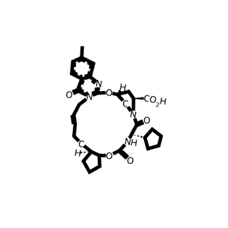 Cc1ccc2c(=O)n3c(nc2c1)O[C@@H]1C[C@@H](C(=O)O)N(C1)C(=O)[C@H](C1CCCC1)NC(=O)OC1CCC[C@H]1CC/C=C/C3